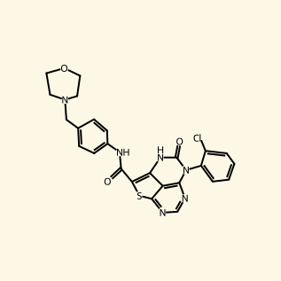 O=C(Nc1ccc(CN2CCOCC2)cc1)c1sc2ncnc3c2c1NC(=O)N3c1ccccc1Cl